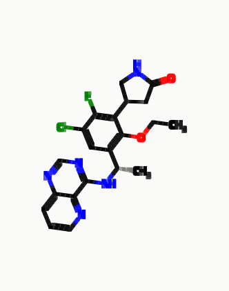 CCOc1c([C@H](C)Nc2ncnc3cccnc23)cc(Cl)c(F)c1C1CNC(=O)C1